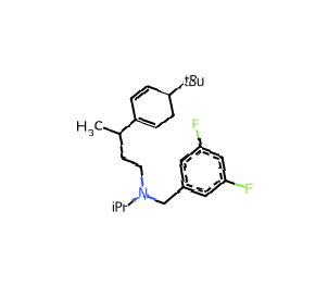 CC(CCN(Cc1cc(F)cc(F)c1)C(C)C)C1=CCC(C(C)(C)C)C=C1